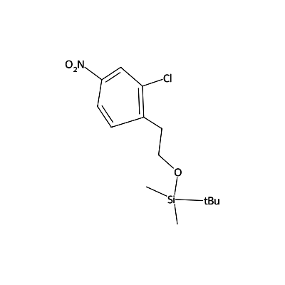 CC(C)(C)[Si](C)(C)OCCc1ccc([N+](=O)[O-])cc1Cl